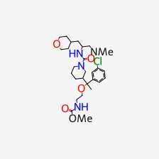 CNCC(CC1CCOCC1)NC(=O)N1CCCC(C(C)(OCCNC(=O)OC)c2cccc(Cl)c2)C1